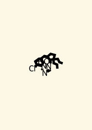 CCCC1(CCC)CCC(=Cc2ccc(Cl)cc2)C1(O)Cn1cncn1